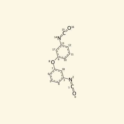 O=C=Nc1cccc(Oc2cccc(N=C=O)c2)c1